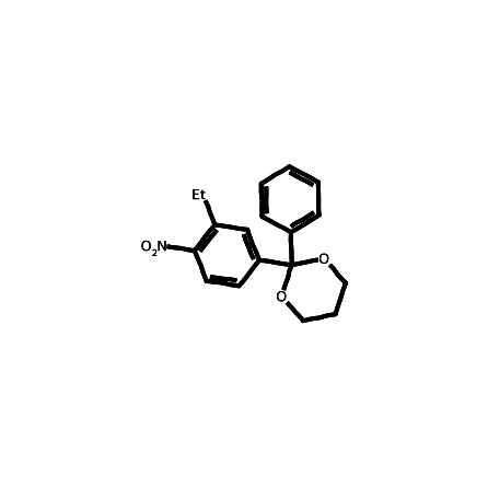 CCc1cc(C2(c3ccccc3)OCCCO2)ccc1[N+](=O)[O-]